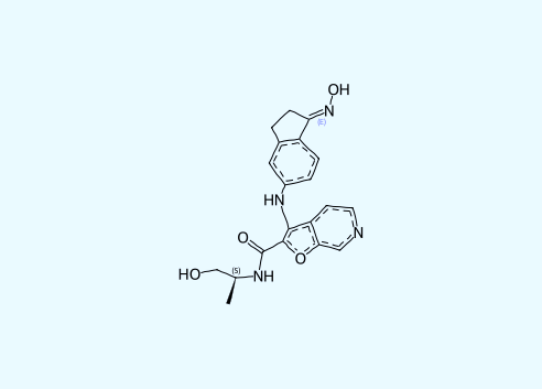 C[C@@H](CO)NC(=O)c1oc2cnccc2c1Nc1ccc2c(c1)CC/C2=N\O